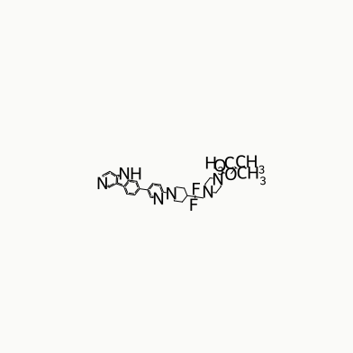 CC(C)(C)OC(=O)N1CCN(CC(F)(F)C2CCN(c3ccc(-c4ccc5c(c4)[nH]c4ccncc45)cn3)CC2)CC1